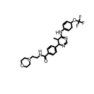 CC1C(NC2=CCC(OC(F)(F)F)C=C2)=NC=NC1c1ccc(C(=O)NCCN2CCOCC2)cc1